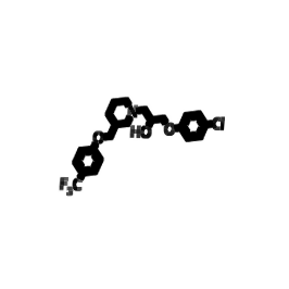 OC(COc1ccc(Cl)cc1)CN1CCCC(COc2ccc(C(F)(F)F)cc2)C1